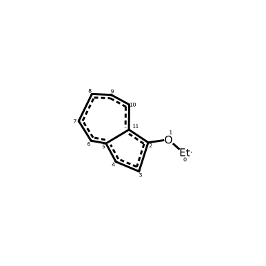 C[CH]Oc1ccc2cccccc1-2